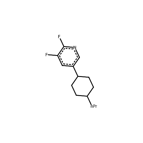 CCCC1CCC(c2cnc(F)c(F)c2)CC1